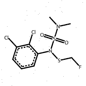 CN(C)S(=O)(=O)N(SCF)c1cccc(Cl)c1Cl